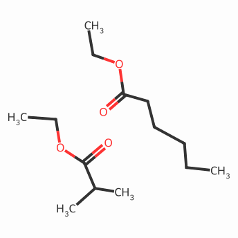 CCCCCC(=O)OCC.CCOC(=O)C(C)C